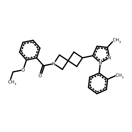 CCOc1ccccc1C(=O)N1CC2(CC(c3cc(C)nn3-c3ccccc3C)C2)C1